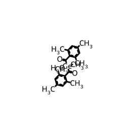 Cc1cc(C)c([C](=O)[Ge]([CH3])([CH3])[C](=O)c2c(C)cc(C)cc2C)c(C)c1